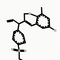 C=CC(C1=Cc2cc(Cl)cc(C)c2OC1)c1ccc(S(=O)(=O)CC)cc1